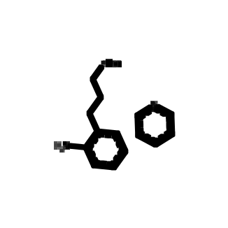 CCCCCCCCCCCCc1ccccc1N.c1ccncc1